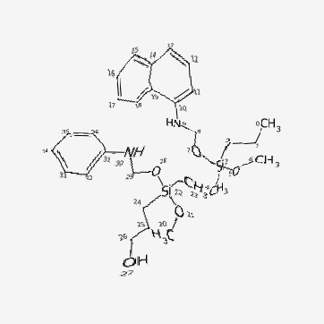 CCC[Si](C)(OC)OCNc1cccc2ccccc12.CO[Si](C)(CCCO)OCNc1ccccc1